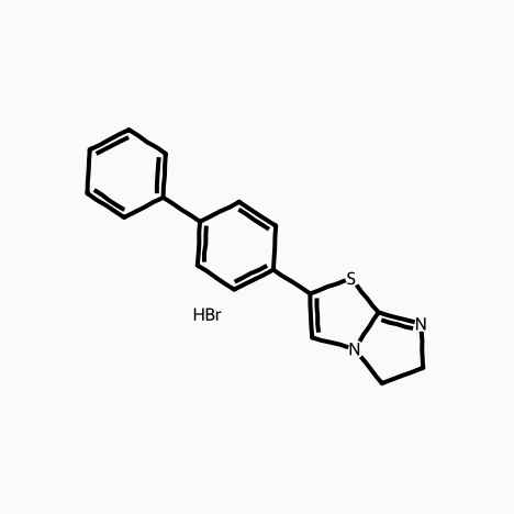 Br.C1=C(c2ccc(-c3ccccc3)cc2)SC2=NCCN12